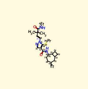 CCNC(=O)C(C)(C)/C=C/n1ncc(C(=O)N[C@@H]2CCC(CC)CC3CCC32)c1SC(C)C